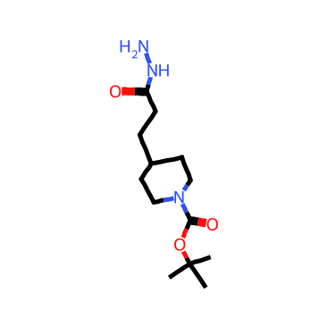 CC(C)(C)OC(=O)N1CCC(CCC(=O)NN)CC1